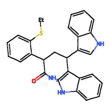 CCSc1ccccc1C(CC(c1c[nH]c2ccccc12)c1c[nH]c2ccccc12)C(N)=O